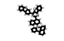 c1ccc2c(c1)-c1cccc3cccc(c13)N2c1ccc(-c2nc(-c3ccc4c(c3)sc3ccccc34)c3oc4ccccc4c3n2)c2ccccc12